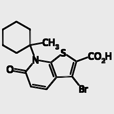 CC1(n2c(=O)ccc3c(Br)c(C(=O)O)sc32)CCCCC1